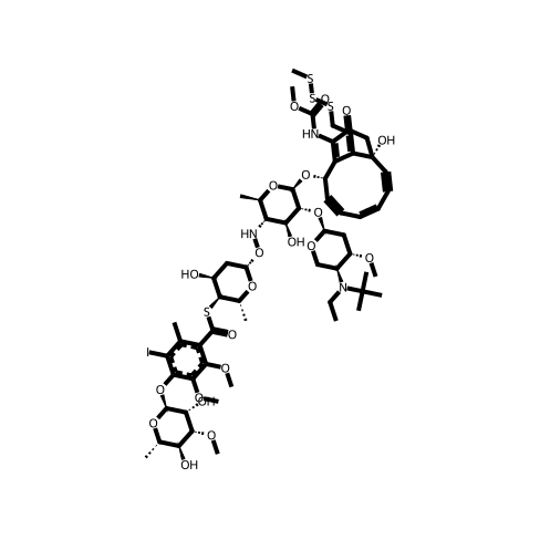 CCN([C@H]1CO[C@@H](O[C@H]2[C@H](O[C@H]3C#C/C=C\C#C[C@]4(O)CC(=O)C(NC(=O)OC)=C3/C4=C\CSSSC)O[C@H](C)[C@@H](NO[C@H]3C[C@H](O)[C@H](SC(=O)c4c(C)c(I)c(O[C@@H]5O[C@@H](C)[C@H](O)[C@@H](OC)[C@H]5O)c(OC)c4OC)[C@@H](C)O3)[C@@H]2O)C[C@@H]1OC)C(C)(C)C